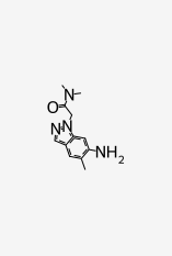 Cc1cc2cnn(CC(=O)N(C)C)c2cc1N